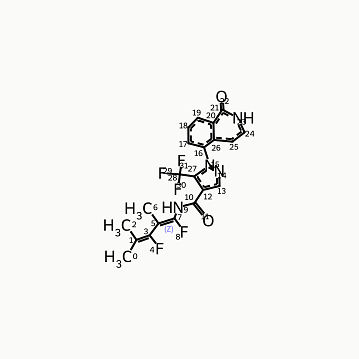 CC(C)=C(F)/C(C)=C(\F)NC(=O)c1cnn(-c2cccc3c(=O)[nH]ccc23)c1C(F)(F)F